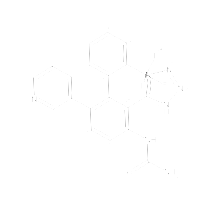 NC(=O)Nc1ccc(-c2cccnc2)c(-c2ccccc2C(F)(F)F)c1-c1nnn[nH]1